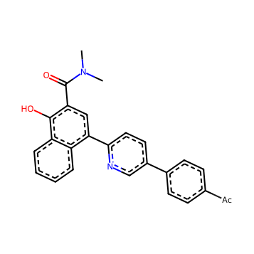 CC(=O)c1ccc(-c2ccc(-c3cc(C(=O)N(C)C)c(O)c4ccccc34)nc2)cc1